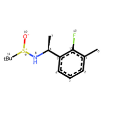 Cc1cccc([C@H](C)N[S+]([O-])C(C)(C)C)c1F